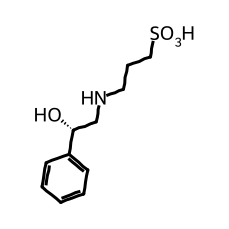 O=S(=O)(O)CCCNC[C@@H](O)c1ccccc1